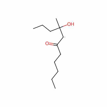 CCCCCC(=O)[CH]C(C)(O)CCC